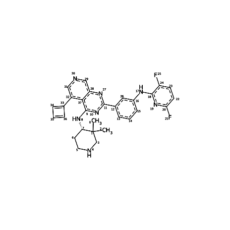 CC1(C)CNCC[C@@H]1Nc1nc(-c2cccc(Nc3nc(F)ccc3F)c2)nc2cncc(C3=CC=C3)c12